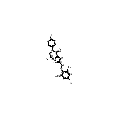 C[C@@H]1CN(c2ccc(F)cc2)C(=O)c2cc(CNc3c(F)cc(F)cc3F)nn21